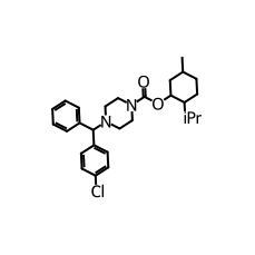 CC1CCC(C(C)C)C(OC(=O)N2CCN(C(c3ccccc3)c3ccc(Cl)cc3)CC2)C1